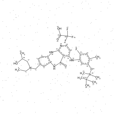 CCN(Cc1ccc2c(c1)NC(=O)c1c(Nc3cc(O[Si](C)(C)C(C)(C)C)c(C)cc3F)ccnc1N2)CC(C)O.O=C(O)C(F)(F)F